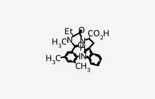 CC[C@H](C(=O)N[C@@H](Cc1c[nH]c2ccccc12)C(=O)O)N(C)C(=O)c1cc(C)cc(C)c1